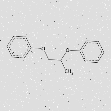 CC(COc1ccccc1)Oc1ccccc1